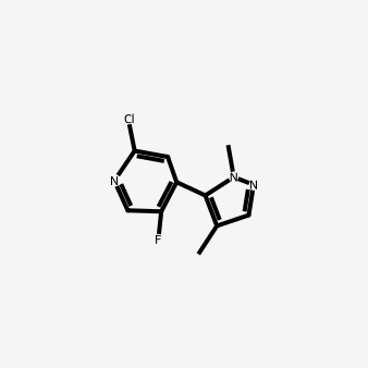 Cc1cnn(C)c1-c1cc(Cl)ncc1F